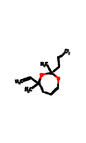 C=C[Si]1(C)CCCO[Si](C)(CCC(F)(F)F)O1